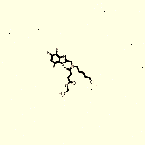 CCCC=CCN(Cc1nc2c(F)c(F)cc(F)c2s1)C(=O)CCC(=O)OCC